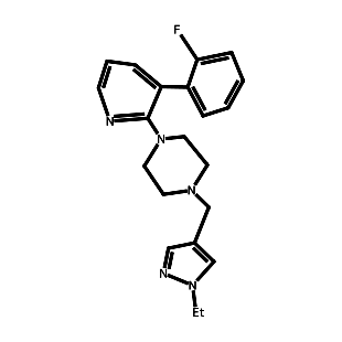 CCn1cc(CN2CCN(c3ncccc3-c3ccccc3F)CC2)cn1